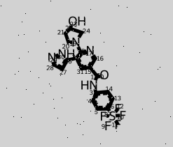 O=C(Nc1ccc(S(F)(F)(F)(F)F)cc1)c1cnc(N2CCC(O)C2)c(-c2ccn[nH]2)c1